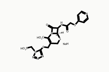 O=C(CSc1ccncc1)NC1C(=O)N2C(C(=O)O)=C(CSc3nnnn3CS(=O)(=O)O)CS[C@H]12.[NaH]